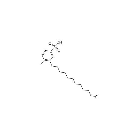 Cc1ccc(S(=O)(=O)O)cc1CCCCCCCCCCCCl